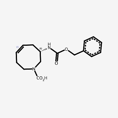 O=C(N[C@H]1C/C=C\CCN(C(=O)O)C1)OCc1ccccc1